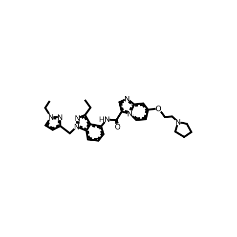 CCc1nn(Cc2ccn(CC)n2)c2cccc(NC(=O)c3cnc4cc(OCCN5CCCC5)ccn34)c12